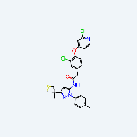 Cc1ccc(-n2nc(C3(C)CSC3)cc2NC(=O)Cc2ccc(Oc3ccnc(Cl)c3)c(Cl)c2)cc1